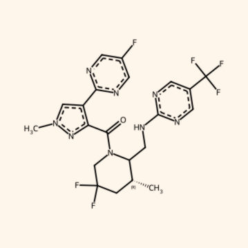 C[C@@H]1CC(F)(F)CN(C(=O)c2nn(C)cc2-c2ncc(F)cn2)C1CNc1ncc(C(F)(F)F)cn1